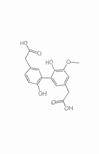 COc1cc(CC(=O)O)cc(-c2cc(CC(=O)O)ccc2O)c1O